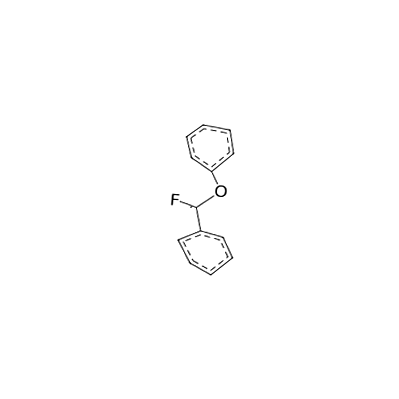 F[C](Oc1ccccc1)c1ccccc1